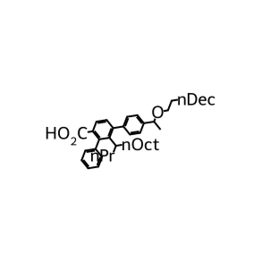 CCCCCCCCCCCCOC(C)c1ccc(-c2ccc(C(=O)O)c(-c3ccccc3)c2C(CCC)CCCCCCCC)cc1